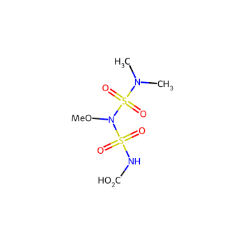 CON(S(=O)(=O)NC(=O)O)S(=O)(=O)N(C)C